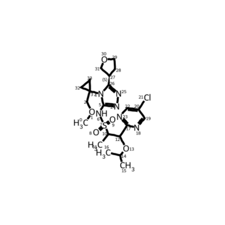 COCC1(n2c(NS(=O)(=O)C(C)C(OC(C)C)c3ncc(Cl)cn3)nnc2[C@@H]2CCOC2)CC1